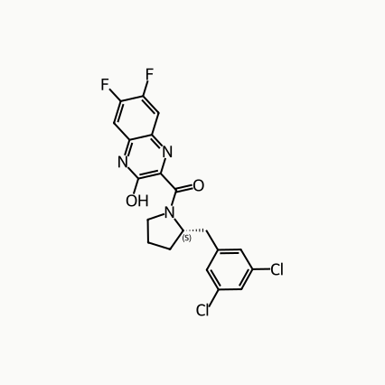 O=C(c1nc2cc(F)c(F)cc2nc1O)N1CCC[C@H]1Cc1cc(Cl)cc(Cl)c1